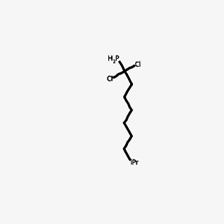 CC(C)CCCCCCC(P)(Cl)Cl